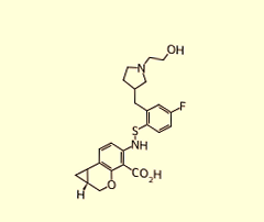 O=C(O)c1c(NSc2ccc(F)cc2CC2CCN(CCO)C2)ccc2c1OC[C@@H]1CC21